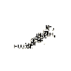 Cc1c(Nc2nccc3cc(CN4CC[C@@](C)(C(=O)O)C4)cnc23)cccc1-c1cccc(NC(=O)c2nc3c(n2C)CCN(C)C3)c1Cl